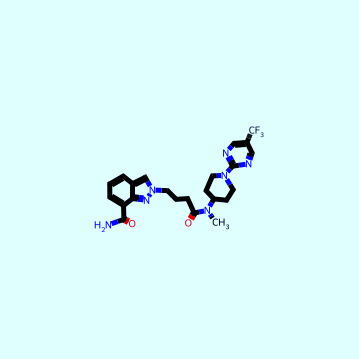 CN(C(=O)CCCn1cc2cccc(C(N)=O)c2n1)C1CCN(c2ncc(C(F)(F)F)cn2)CC1